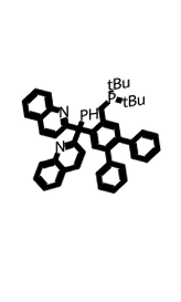 CC(C)(C)P(Cc1cc(-c2ccccc2)c(-c2ccccc2)cc1C(P)(c1ccc2ccccc2n1)c1ccc2ccccc2n1)C(C)(C)C